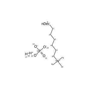 CCCCCCCCCCCCCCCC[N+](C)(C)C.O=P([O-])([O-])[O-].[H+].[H+]